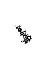 CS(=O)(=O)c1ccc(-c2ccc3cc(C(=O)NC4(C(=O)NC5(C=N)CC5)CCCCCC4)[nH]c3c2)cc1